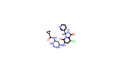 CC1(c2cccnc2)NC(=O)c2c(Cl)cc(NC3CC(NC(=O)C4CC4)NCN3)c(=O)n21